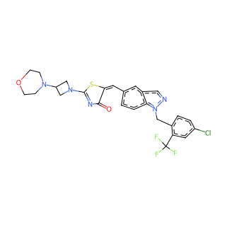 O=C1N=C(N2CC(N3CCOCC3)C2)S/C1=C/c1ccc2c(cnn2Cc2ccc(Cl)cc2C(F)(F)F)c1